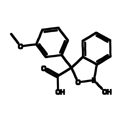 COc1cccc(C2(C(=O)O)OB(O)c3ccccc32)c1